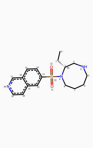 CC[C@@H]1CNCCCCN1S(=O)(=O)c1ccc2cnccc2c1